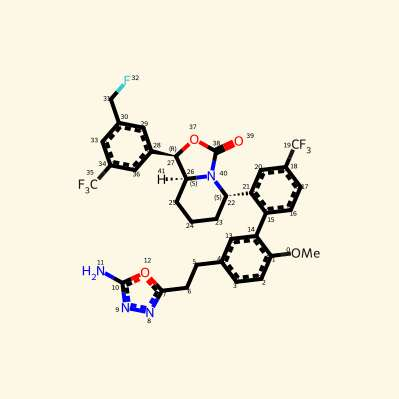 COc1ccc(CCc2nnc(N)o2)cc1-c1ccc(C(F)(F)F)cc1[C@@H]1CCC[C@H]2[C@@H](c3cc(CF)cc(C(F)(F)F)c3)OC(=O)N12